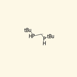 CC(C)(C)P[CH]PC(C)(C)C